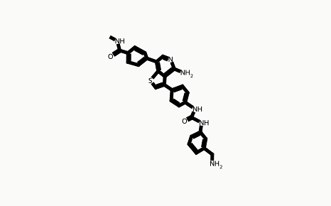 CNC(=O)c1ccc(-c2cnc(N)c3c(-c4ccc(NC(=O)Nc5cccc(CN)c5)cc4)csc23)cc1